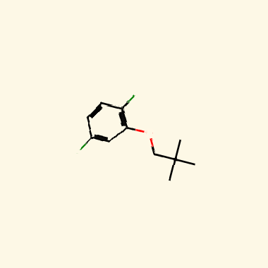 CC(C)(C)COc1cc(F)ccc1F